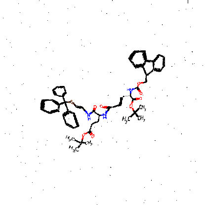 CC(C)(C)OC(=O)CC[C@H](NC(=O)CC[C@H](NC(=O)OCC1c2ccccc2-c2ccccc21)C(=O)OC(C)(C)C)C(=O)NCCSC(c1ccccc1)(c1ccccc1)c1ccccc1